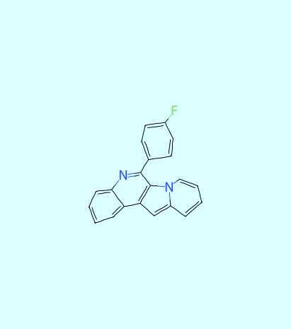 Fc1ccc(-c2nc3ccccc3c3cc4ccccn4c23)cc1